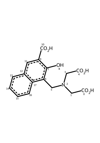 O=C(O)CN(CC(=O)O)Cc1c(O)c(C(=O)O)cc2ccccc12